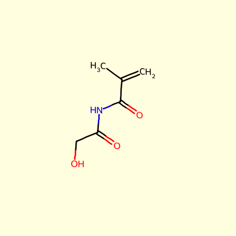 C=C(C)C(=O)NC(=O)CO